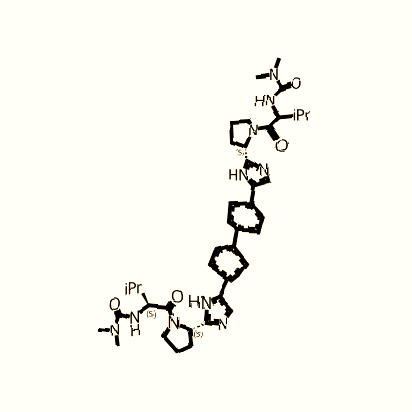 CC(C)C(NC(=O)N(C)C)C(=O)N1CCC[C@H]1c1ncc(-c2ccc(-c3ccc(-c4cnc([C@@H]5CCCN5C(=O)[C@@H](NC(=O)N(C)C)C(C)C)[nH]4)cc3)cc2)[nH]1